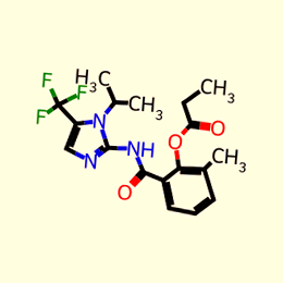 CCC(=O)Oc1c(C)cccc1C(=O)Nc1ncc(C(F)(F)F)n1C(C)C